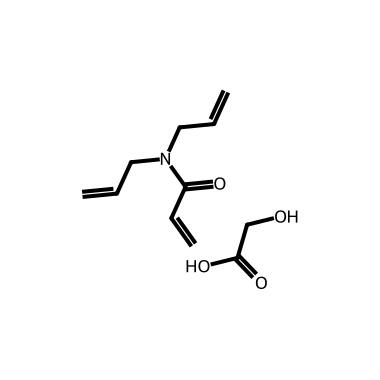 C=CCN(CC=C)C(=O)C=C.O=C(O)CO